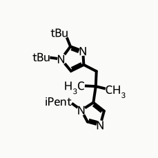 CCCC(C)n1cncc1C(C)(C)Cc1cn(C(C)(C)C)c(C(C)(C)C)n1